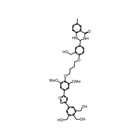 COc1cc(-c2cc(-c3cc(CO)c(CO)c(CO)c3)no2)cc(OC)c1OCCCCOc1ccc(C2NC(=O)c3cc(C)ccc3N2)cc1CO